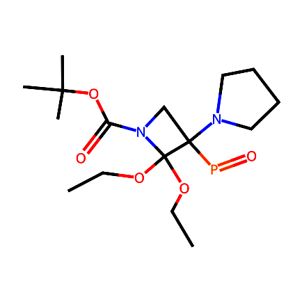 CCOC1(OCC)N(C(=O)OC(C)(C)C)CC1(P=O)N1CCCC1